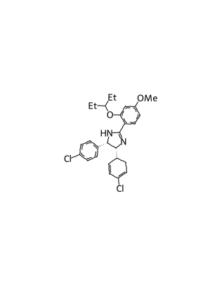 CCC(CC)Oc1cc(OC)ccc1C1=N[C@H](C2C=CC(Cl)=CC2)[C@H](c2ccc(Cl)cc2)N1